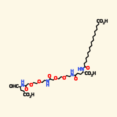 O=CC(CCC(=O)O)NC(=O)COCCOCCNC(=O)COCCOCCNC(=O)CC[C@H](NC(=O)CCCCCCCCCCCCCCCCC(=O)O)C(=O)O